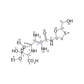 C=C(NC(C(=O)O)[PH](O)(OCC)OCC)/C(N)=C(\N)C(=O)NC1CSC(CO)O1